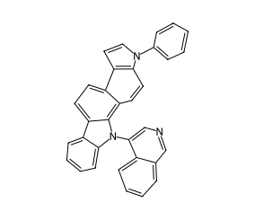 c1ccc(-n2ccc3c4ccc5c6ccccc6n(-c6cncc7ccccc67)c5c4ccc32)cc1